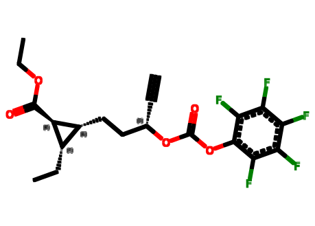 C#C[C@@H](CC[C@@H]1[C@H](CC)[C@H]1C(=O)OCC)OC(=O)Oc1c(F)c(F)c(F)c(F)c1F